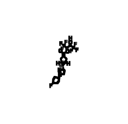 O=C(O[C@@H]([C@@H](O)C(F)(F)F)C(F)(F)F)N1C[C@@H]2[C@H](C1)[C@H]2c1ccn(-c2ccc(F)cc2)n1